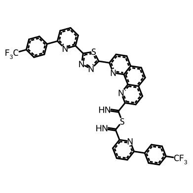 N=C(SC(=N)c1ccc2ccc3ccc(-c4nnc(-c5cccc(-c6ccc(C(F)(F)F)cc6)n5)s4)nc3c2n1)c1cccc(-c2ccc(C(F)(F)F)cc2)n1